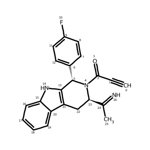 C#CC(=O)N1[C@@H](c2ccc(F)cc2)c2[nH]c3ccccc3c2C[C@@H]1C(C)=N